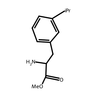 COC(=O)C(N)Cc1cccc(C(C)C)c1